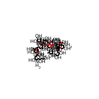 CC1C(O)[C@H](OC2OC(CO[C@]3(C(=O)O)C[C@@H](O)[C@@H](N)C(C(O)C(O)CO)O3)[C@H](O)CC2O)[C@H](CO)O[C@H]1O[C@@H]1C(O)[C@H](O)C(CO)O[C@@H]1OCC1O[C@@H](O[C@@H]2C(CO)O[C@@H](O[C@@H]3C(CO)O[C@@H](C)[C@@H](C)C3O)[C@@H](C)C2O)[C@H](O)C(O[C@H]2O[C@H](CO)[C@@H](O)C(O)C2O[C@@H]2OC(CO)[C@@H](O[C@@H]3OC(CO)[C@H](O)C(O[C@]4(C(=O)O)C[C@@H](O)[C@@H](N)C(C(O)C(O)CO)O4)[C@@H]3O)C(O)[C@@H]2C)[C@@H]1O